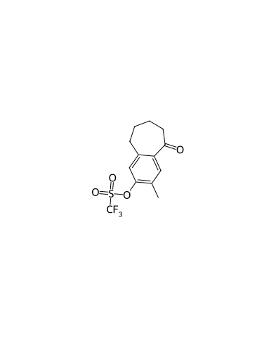 Cc1cc2c(cc1OS(=O)(=O)C(F)(F)F)CCCCC2=O